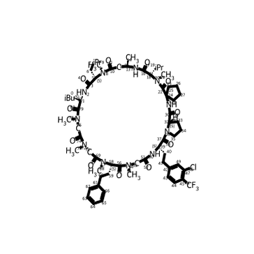 CC[C@H](C)[C@@H]1NC(=O)[C@H](CC(C)C)N(C)C(=O)C[C@@H](C)NC(=O)[C@H](C(C)C)N(C)C(=O)C2(CCCC2)NC(=O)[C@@H]2CCCN2C(=O)[C@H](CCc2ccc(C(F)(F)F)c(Cl)c2)NC(=O)CN(C)C(=O)[C@H](CCc2ccccc2)N(C)C(=O)CN(C)C(=O)CN(C)C1=O